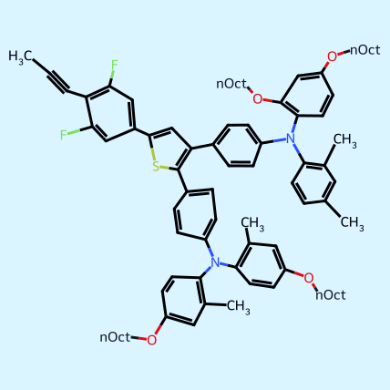 CC#Cc1c(F)cc(-c2cc(-c3ccc(N(c4ccc(C)cc4C)c4ccc(OCCCCCCCC)cc4OCCCCCCCC)cc3)c(-c3ccc(N(c4ccc(OCCCCCCCC)cc4C)c4ccc(OCCCCCCCC)cc4C)cc3)s2)cc1F